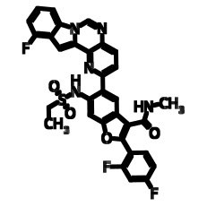 CCS(=O)(=O)Nc1cc2oc(-c3ccc(F)cc3F)c(C(=O)NC)c2cc1-c1ccc2ncn3c4cccc(F)c4cc3c2n1